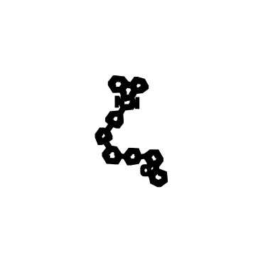 c1cc(-c2ccc(-c3cnc4c5ccccc5c5ccccc5c4n3)cc2)cc(-c2cccc(-c3ccc(-c4cccc5c4oc4ccccc45)cc3)c2)c1